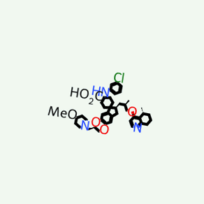 COC1CCN(C[C@@H]2COc3cc4c(cc3O2)C2(CCC(Nc3cccc(Cl)c3)(C(=O)O)CC2)[C@@H](C[C@@H](C)COc2ccnc3c2[C@H](C)CCC3)C4)CC1